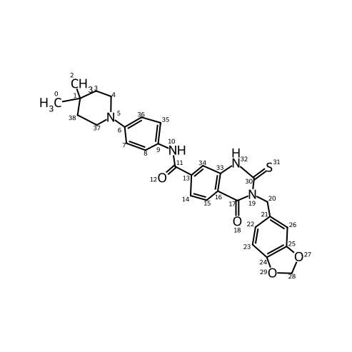 CC1(C)CCN(c2ccc(NC(=O)c3ccc4c(=O)n(Cc5ccc6c(c5)OCO6)c(=S)[nH]c4c3)cc2)CC1